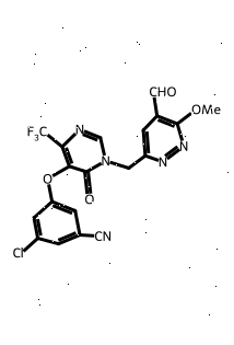 COc1nnc(Cn2cnc(C(F)(F)F)c(Oc3cc(Cl)cc(C#N)c3)c2=O)cc1C=O